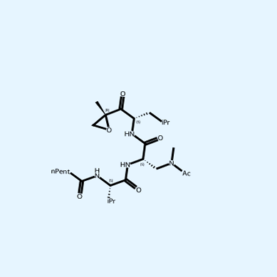 CCCCCC(=O)N[C@H](C(=O)N[C@@H](CN(C)C(C)=O)C(=O)N[C@@H](CC(C)C)C(=O)[C@@]1(C)CO1)C(C)C